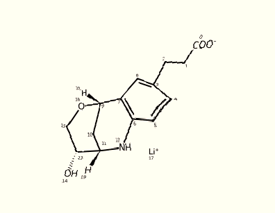 O=C([O-])CCc1ccc2c(c1)[C@@H]1C[C@H](N2)[C@H](O)CO1.[Li+]